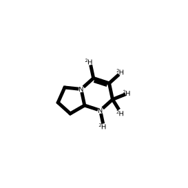 [2H]C1=C([2H])C([2H])([2H])N([2H])C2CCCN12